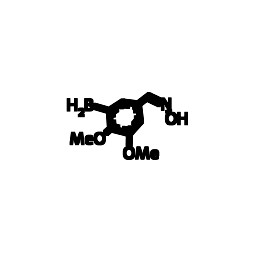 Bc1cc(/C=N\O)cc(OC)c1OC